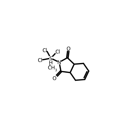 C[SH](Cl)(Cl)(Cl)N1C(=O)C2CC=CCC2C1=O